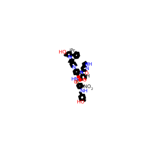 CC(C)c1ccccc1C1CCC(C)(O)CN1C1CC2(CCN(c3ccc(C(=O)NS(=O)(=O)c4ccc(NCC5CCC(C)(O)CC5)c([N+](=O)[O-])c4)c(N4c5cc6cc[nH]c6nc5O[C@H]5COCC[C@@H]54)c3)CC2)C1